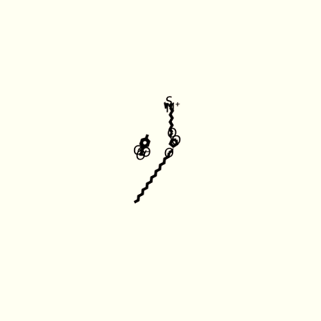 CCCCCCCCCCCCCCCCOC[C@H]1CO[C@H](COCCCCCC[n+]2ccsc2)C1.Cc1ccc(S(=O)(=O)[O-])cc1